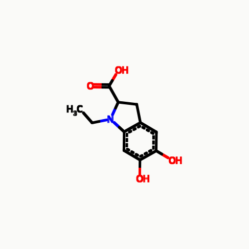 CCN1c2cc(O)c(O)cc2CC1C(=O)O